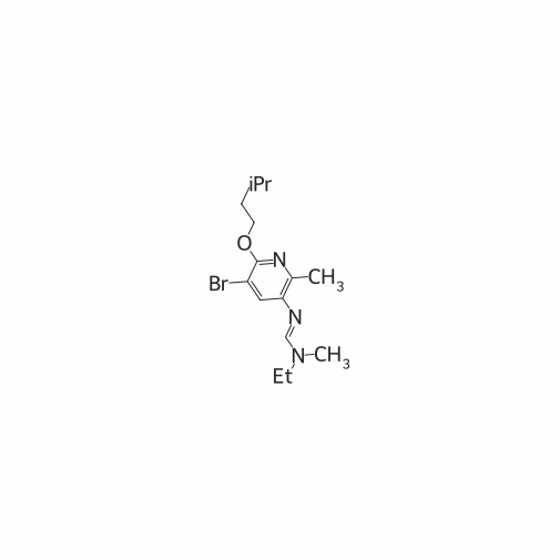 CCN(C)C=Nc1cc(Br)c(OCCC(C)C)nc1C